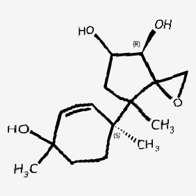 CC1(O)C=C[C@@](C)(C2(C)CC(O)[C@@H](O)C23CO3)CC1